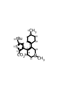 CC1CC=C(C2=C(c3cc(C(C)(C)C)sc3C(=O)O)CCN(C)C2)CC1